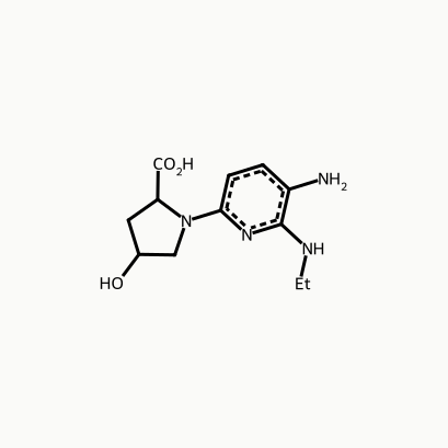 CCNc1nc(N2CC(O)CC2C(=O)O)ccc1N